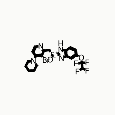 [O-][S+](Cc1nccc(N2CCCCC2)c1Br)c1nc2cc(OC(F)(F)C(F)F)ccc2[nH]1